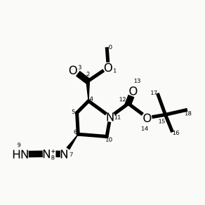 COC(=O)[C@@H]1C[C@H](N=[N+]=N)CN1C(=O)OC(C)(C)C